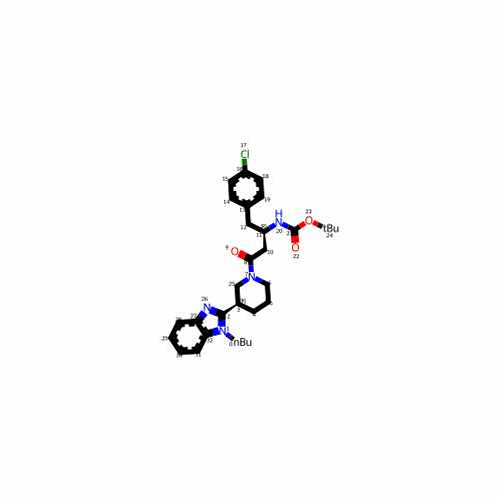 CCCCn1c([C@@H]2CCCN(C(=O)C[C@@H](Cc3ccc(Cl)cc3)NC(=O)OC(C)(C)C)C2)nc2ccccc21